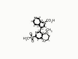 CN1CCOc2cc(S(C)(=O)=O)nc(-c3cn(C(=O)O)c4cnccc34)c21